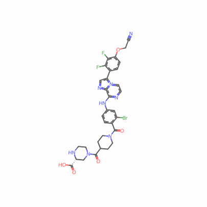 N#CCOc1ccc(-c2cnc3c(Nc4ccc(C(=O)N5CCC(C(=O)N6CCN[C@@H](C(=O)O)C6)CC5)c(Br)c4)nccn23)c(F)c1F